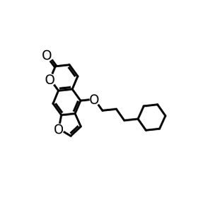 O=c1ccc2c(OCCCC3CCCCC3)c3ccoc3cc2o1